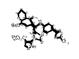 CCOC(=O)c1cn[nH]c1-n1nc(C(Nc2ccc(-c3noc(C(F)(F)F)n3)cc2)c2cc(OC)c3c(c2F)CCCO3)[nH]c1=O